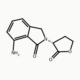 Nc1cccc2c1C(=O)N([C@@H]1CCOC1=O)C2